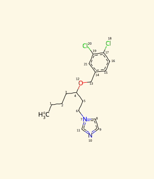 CCCCC(CCn1ccnc1)OCc1ccc(Cl)c(Cl)c1